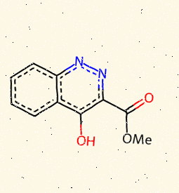 COC(=O)c1nnc2ccccc2c1O